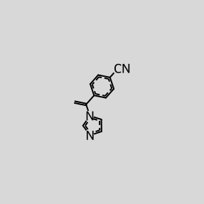 C=C(c1ccc(C#N)cc1)n1ccnc1